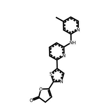 Cc1ccnc(Nc2cccc(-c3cnc(C4=CCC(=O)O4)s3)n2)c1